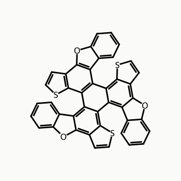 c1ccc2c(c1)oc1c3ccsc3c3c(c21)c1c2sccc2c2oc4ccccc4c2c1c1c2sccc2c2oc4ccccc4c2c31